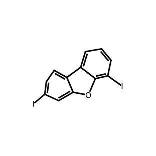 Ic1ccc2c(c1)oc1c(I)cccc12